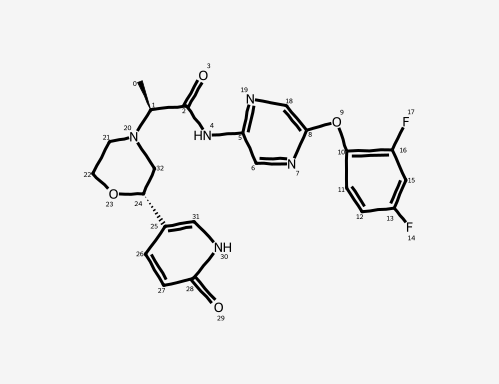 C[C@@H](C(=O)Nc1cnc(Oc2ccc(F)cc2F)cn1)N1CCO[C@@H](c2ccc(=O)[nH]c2)C1